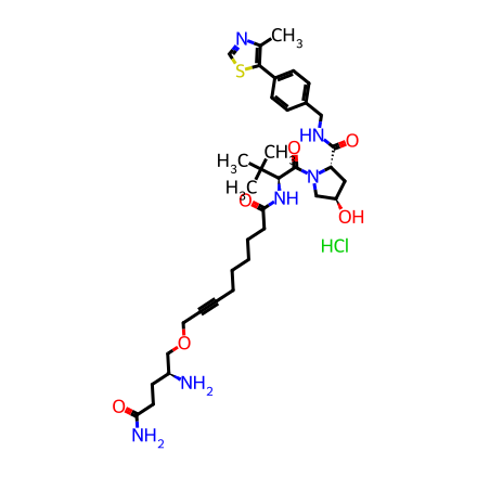 Cc1ncsc1-c1ccc(CNC(=O)[C@@H]2C[C@@H](O)CN2C(=O)[C@@H](NC(=O)CCCCCC#CCOC[C@@H](N)CCC(N)=O)C(C)(C)C)cc1.Cl